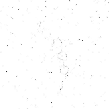 C=CCOc1ccc(-c2ccc([C@@]3(I)CC=C(C4COC(/C=C/C)OC4)C=C3F)cc2)c(F)c1F